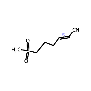 CS(=O)(=O)CCC/C=C/C#N